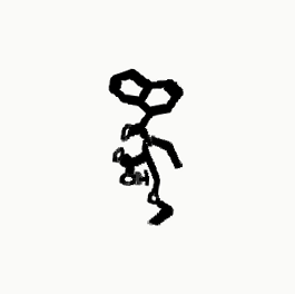 CCOCC(C(=O)O)N(CC)C(=O)c1cccc2ccccc12